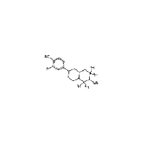 [2H]C1([2H])CC2CC(c3ccc(C#N)c(F)c3)CCC2C([2H])([2H])C1CCC